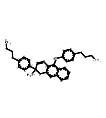 CCCCc1ccc(Nc2c3c(cc4ccccc24)CC(N)(c2ccc(CCCC)cc2)C=C3)cc1